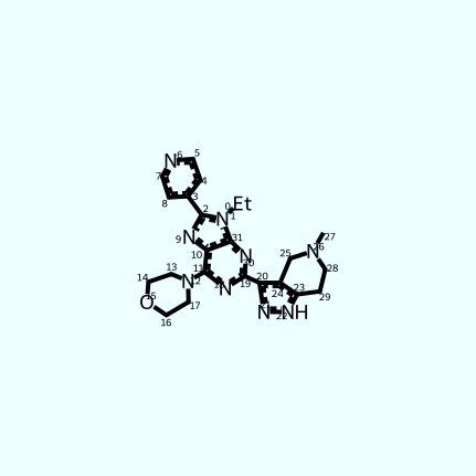 CCn1c(-c2ccncc2)nc2c(N3CCOCC3)nc(-c3n[nH]c4c3CN(C)CC4)nc21